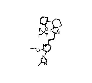 CCOc1nc(C=Cc2nc3n(n2)CCCC3c2ccccc2OC(F)(F)F)ccc1-n1cnc(C)c1